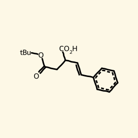 CC(C)(C)OC(=O)CC(C=Cc1ccccc1)C(=O)O